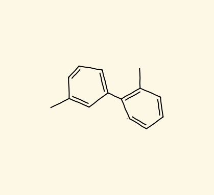 Cc1cccc(-c2[c]cccc2C)c1